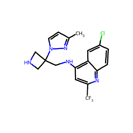 Cc1ccn(C2(CNc3cc(C(F)(F)F)nc4ccc(Cl)cc34)CNC2)n1